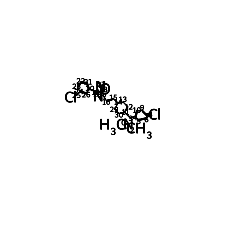 CN(C)C(c1ccc(Cl)cc1)C1CCC(/C=C/c2nc(-c3cccc(Cl)c3)no2)CC1